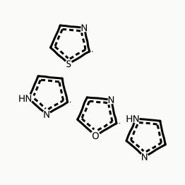 [c]1cc[nH]n1.[c]1ncco1.[c]1nccs1.c1c[nH]cn1